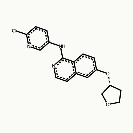 Clc1ccc(Nc2nccc3cc(O[C@@H]4CCOC4)ccc23)cn1